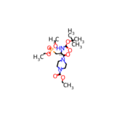 CCOC(=O)N1CCN(C(=O)[C@@H](CP(=O)(OCC)OCC)NC(=O)OC(C)(C)C)CC1